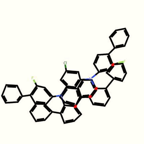 Fc1cc(N(c2cc(Cl)cc(N(c3ccc(-c4ccccc4)c(F)c3)c3c(-c4ccccc4)cccc3-c3ccccc3)c2)c2c(-c3ccccc3)cccc2-c2ccccc2)ccc1-c1ccccc1